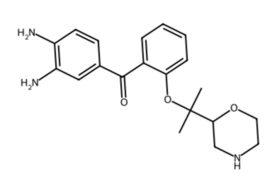 CC(C)(Oc1ccccc1C(=O)c1ccc(N)c(N)c1)C1CNCCO1